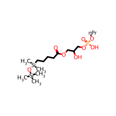 CCCOP(=O)(O)OCC(O)COC(=O)CCCC[Si](C)(C)O[Si](C)(C)C